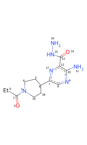 CCC(=O)N1CCC(c2cnc(N)c(C(=O)NN)n2)CC1